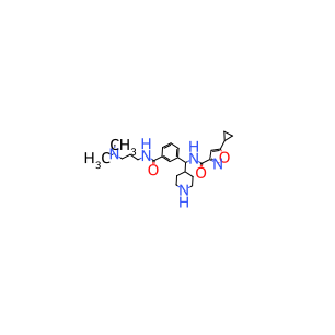 CN(C)CCCNC(=O)c1cccc(C(NC(=O)c2cc(C3CC3)on2)C2CCNCC2)c1